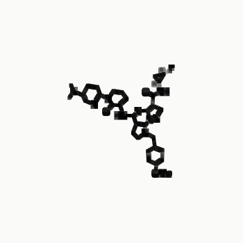 COc1ccc(CN2CCc3c(Nc4cccn(-c5ccc(N(C)C)cn5)c4=O)nc4c(C(=O)N[C@@H]5C[C@@H]5F)cnn4c32)cc1